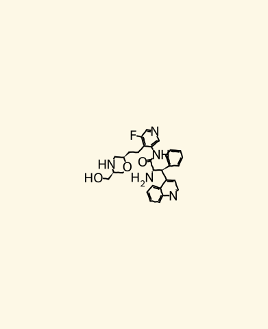 N[C@H](C(=O)Nc1cncc(F)c1CC[C@@H]1CN[C@H](CO)CO1)[C@@H](c1ccccc1)c1ccnc2ccccc12